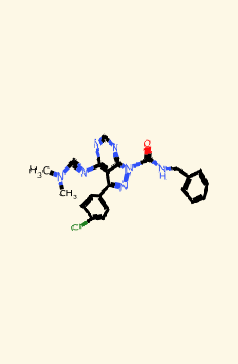 CN(C)/C=N/c1ncnc2c1c(-c1ccc(Cl)cc1)nn2C(=O)NCc1ccccc1